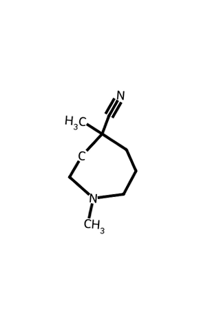 CN1CCCC(C)(C#N)CC1